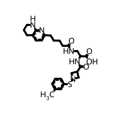 Cc1cccc(SN2CC(C(=O)NC(CNC(=O)CCCCc3ccc4c(n3)NCCC4)C(=O)O)C2)c1